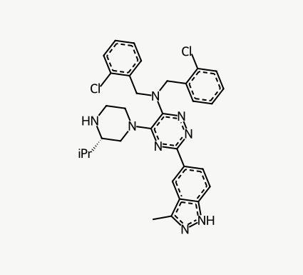 Cc1n[nH]c2ccc(-c3nnc(N(Cc4ccccc4Cl)Cc4ccccc4Cl)c(N4CCN[C@@H](C(C)C)C4)n3)cc12